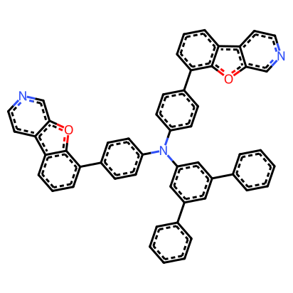 c1ccc(-c2cc(-c3ccccc3)cc(N(c3ccc(-c4cccc5c4oc4cnccc45)cc3)c3ccc(-c4cccc5c4oc4cnccc45)cc3)c2)cc1